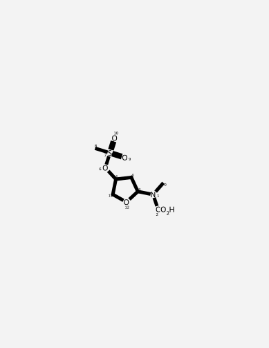 CN(C(=O)O)C1CC(OS(C)(=O)=O)CO1